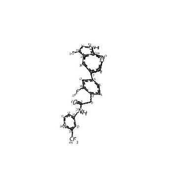 O=C(Cc1ccc(-c2cnc3[nH]cc(F)c3c2)cc1F)Nc1ccnc(C(F)(F)F)c1